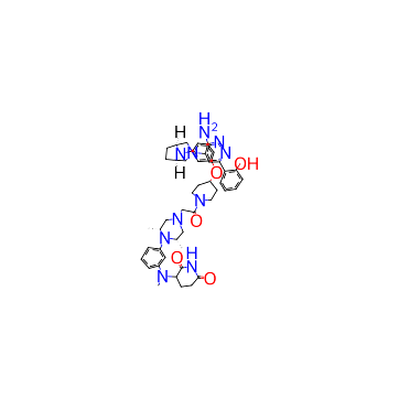 C[C@@H]1CN(CC(=O)N2CCC(Oc3cccc(N4[C@@H]5CC[C@H]4CN(c4cc(-c6ccccc6O)nnc4N)C5)c3)CC2)C[C@H](C)N1c1cccc(N(C)C2CCC(=O)NC2=O)c1